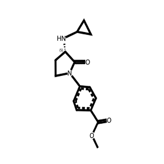 COC(=O)c1ccc(N2CC[C@H](NC3CC3)C2=O)cc1